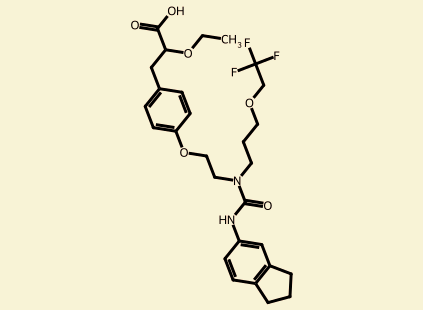 CCOC(Cc1ccc(OCCN(CCCOCC(F)(F)F)C(=O)Nc2ccc3c(c2)CCC3)cc1)C(=O)O